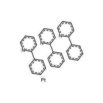 [Pt].c1ccc(-c2ccccn2)cc1.c1ccc(-c2ccccn2)cc1.c1ccc(-c2ccccn2)cc1